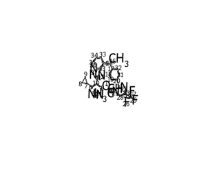 COc1ncnc(C2CC2)c1-c1nc2c(C(C)c3ccc(-c4nc(C(F)(F)F)cn4C)cc3)cccn2n1